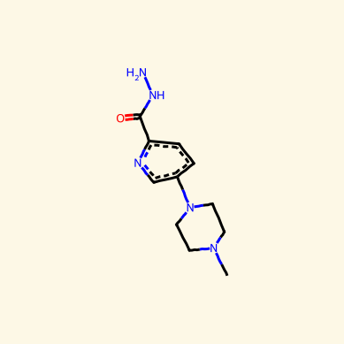 CN1CCN(c2ccc(C(=O)NN)nc2)CC1